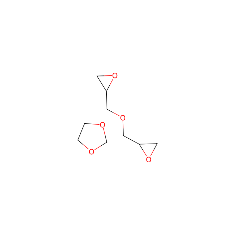 C(OCC1CO1)C1CO1.C1COCO1